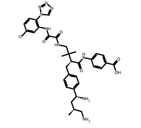 C[C@H](CN)C[C@H](N)c1ccc(C[C@H](C(=O)Nc2ccc(C(=O)O)cc2)C(C)(C)CNC(=O)C(=O)Nc2cc(Cl)ccc2-n2cnnn2)cc1